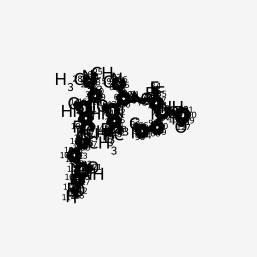 CCc1cc2c(cc1C(F)(F)F)NC(=O)CC(c1cccc(-c3cc(C)nc(C)c3)c1)=N2.CCc1cc2c(cc1C(F)(F)F)NC(=O)CC(c1cccc(-c3ccnc(C)c3)c1)=N2.Cc1cc(-c2cccc(C3=Nc4cc(OCC5CC5)c(C(F)(F)F)cc4NC(=O)C3)c2)ccn1.Cc1cc(-c2cccc(C3=Nc4ccc(OC(F)(F)F)cc4NC(=O)C3)c2)ccn1.O=c1cccccn1